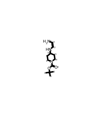 CC(C)(C)OC(=O)N1CCC(N/C=C\N)CC1